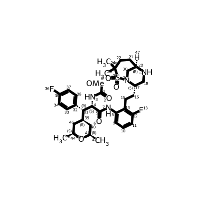 COC(=O)N[C@H](C(=O)Nc1cccc(F)c1CC[C@H]1CN[C@@H]2CCC(C)(C)S(=O)(=O)N1C2)[C@@H](c1ccc(F)cc1)[C@H]1C[C@@H](C)O[C@@H](C)C1